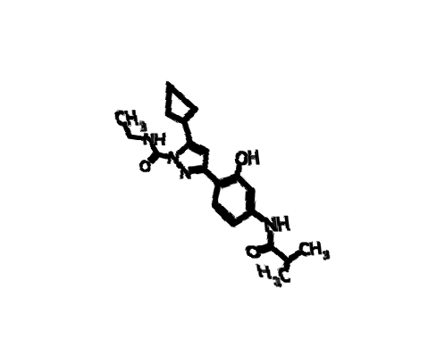 CCNC(=O)n1nc(-c2ccc(NC(=O)C(C)C)cc2O)cc1C1CCC1